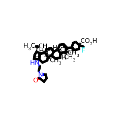 C=C(C)[C@@H]1CC[C@]2(NCCN3CCCC3=O)CC[C@]3(C)[C@H](CC[C@@H]4[C@@]5(C)CC=C(C6=CCC(CF)(C(=O)O)CC6)C(C)(C)[C@@H]5CC[C@]43C)[C@@H]12